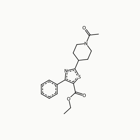 CCOC(=O)c1sc(C2CCN(C(C)=O)CC2)nc1-c1ccccc1